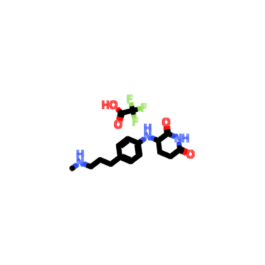 CNCCCc1ccc(NC2CCC(=O)NC2=O)cc1.O=C(O)C(F)(F)F